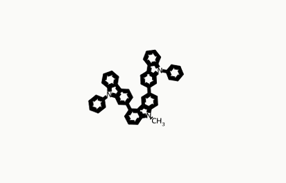 Cn1c2ccc(-c3ccc4c5ccccc5n(-c5ccccc5)c4c3)cc2c2c(-c3ccc4c5ccccc5n(-c5ccccc5)c4c3)cccc21